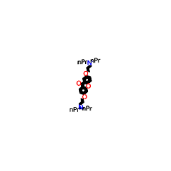 CCCN(CCC)CCCOc1ccc2c(=O)c3cc(OCCCN(CCC)CCC)ccc3oc2c1